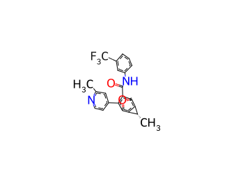 Cc1cc(-c2c(C(=O)Nc3cccc(C(F)(F)F)c3)c3oc2c2c3[C@@H]2C)ccn1